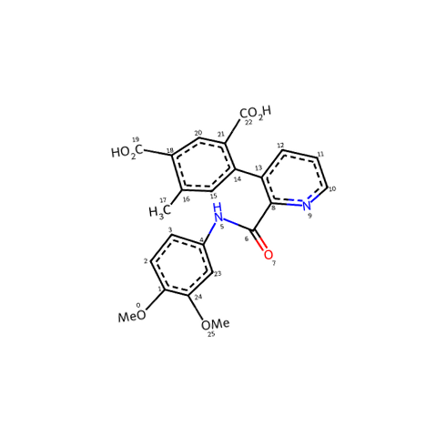 COc1ccc(NC(=O)c2ncccc2-c2cc(C)c(C(=O)O)cc2C(=O)O)cc1OC